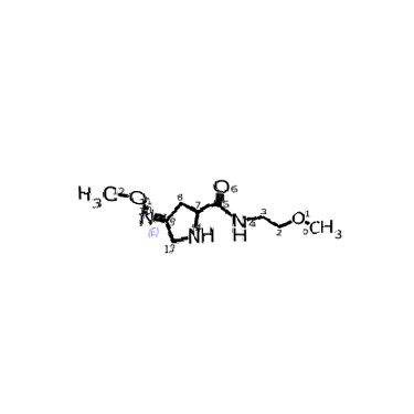 COCCNC(=O)C1C/C(=N\OC)CN1